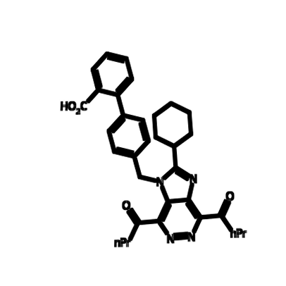 CCCC(=O)c1nnc(C(=O)CCC)c2c1nc(C1CCCCC1)n2Cc1ccc(-c2ccccc2C(=O)O)cc1